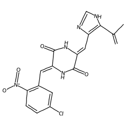 C=C(C)c1[nH]cnc1/C=c1\[nH]c(=O)/c(=C/c2cc(Cl)ccc2[N+](=O)[O-])[nH]c1=O